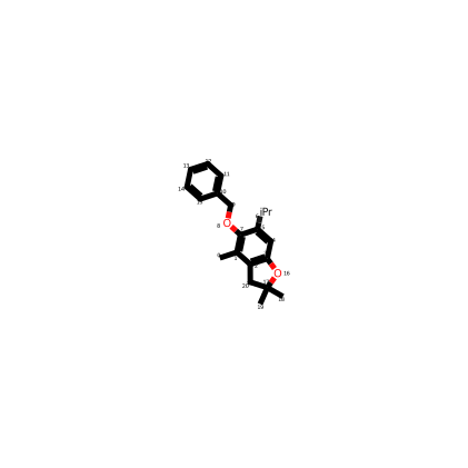 Cc1c2c(cc(C(C)C)c1OCc1ccccc1)OC(C)(C)C2